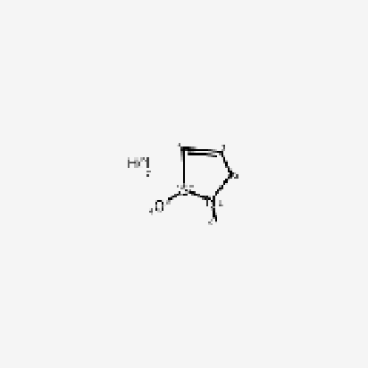 CN1CC=C[S+]1[O-].Cl